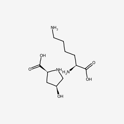 NCCCC[C@H](N)C(=O)O.O=C(O)[C@@H]1C[C@H](O)CN1